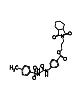 Cc1ccc(S(=O)(=O)NC(=O)Nc2ccc(C(=O)OCCCN3C(=O)C4CCCCC4C3=O)cc2)cc1